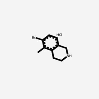 Cc1c(Br)ccc2c1CCNC2.Cl